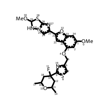 COc1cc(OCc2csc(C3(F)CC(C)OC(C)C3)n2)c2cc(-c3cn4c(n3)SC(OC)N4)oc2c1